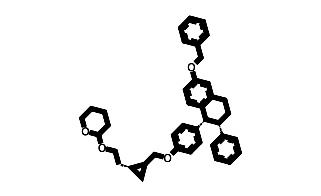 c1ccc(COc2ccc3c(c2)CC[C@H](c2ccccc2)[C@@H]3c2ccc(OCC3C[C@@H]3CCOC3CCCCO3)cc2)cc1